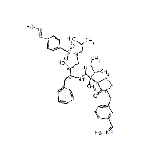 CCC(C)C(C)(C(=O)N[C@@H](Cc1ccccc1)[C@H](O)CN(CC(C)C)S(=O)(=O)c1ccc(/C=N/O)cc1)N1CCN(Cc2cccc(/C=N\O)n2)C1=O